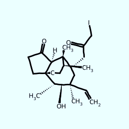 C=C[C@]1(C)C[C@@H](CC(=O)CI)[C@]2(C)[C@H](C)CC[C@]3(CCC(=O)[C@H]32)[C@@H](C)[C@@H]1O